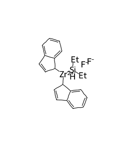 CC[SiH](CC)[Zr+2]([CH]1C=Cc2ccccc21)[CH]1C=Cc2ccccc21.[F-].[F-]